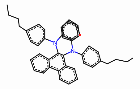 CCCCc1ccc(N(c2ccccc2)c2c(N(c3ccccc3)c3ccc(CCCC)cc3)c3ccccc3c3ccccc23)cc1